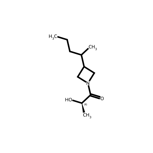 CCCC(C)C1CN(C(=O)[C@@H](C)O)C1